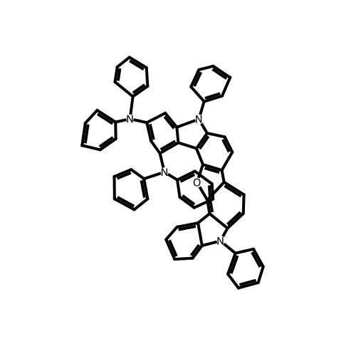 c1ccc(N(c2ccccc2)c2cc(N(c3ccccc3)c3ccccc3)c3c4c5oc6c(ccc7c6c6ccccc6n7-c6ccccc6)c5ccc4n(-c4ccccc4)c3c2)cc1